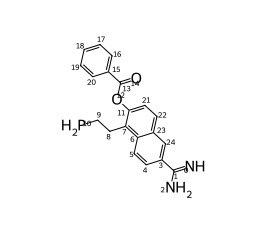 N=C(N)c1ccc2c(CCP)c(OC(=O)c3ccccc3)ccc2c1